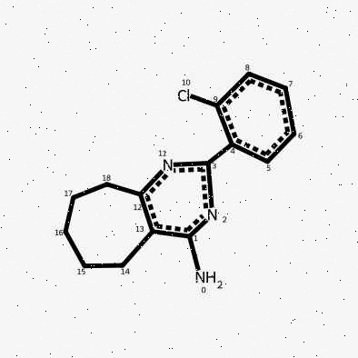 Nc1nc(-c2ccccc2Cl)nc2c1CCCCC2